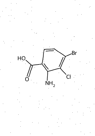 Nc1c(C(=O)O)ccc(Br)c1Cl